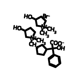 C[N+]1(C)CCC(O)C1.C[N+]1(C)CCC(O)C1.O=C([O-])C(O)(c1ccccc1)C1CCCC1.[Br-]